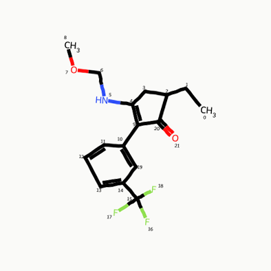 CCC1CC(NCOC)=C(c2cccc(C(F)(F)F)c2)C1=O